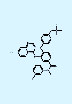 CC(C)c1ccc2c(Nc3cc(C(=O)N(C)c4cccc(F)c4)ccc3Sc3ccc(NS(C)(=O)=O)cc3)ncnc2n1